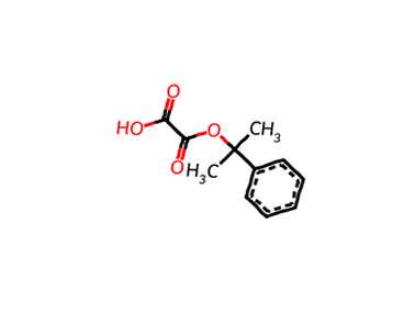 CC(C)(OC(=O)C(=O)O)c1ccccc1